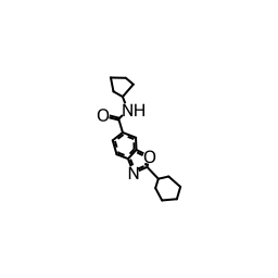 O=C(NC1CCCC1)c1ccc2nc(C3CCCCC3)oc2c1